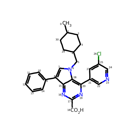 CC1CCC(Cn2cc(-c3ccccc3)c3nc(C(=O)O)nc(-c4cncc(Cl)c4)c32)CC1